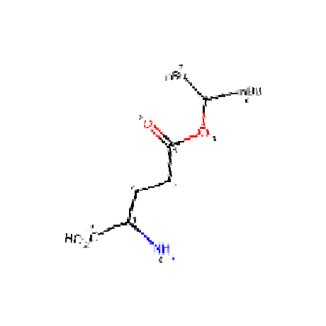 CCCCC(CCCC)OC(=O)CCC(N)C(=O)O